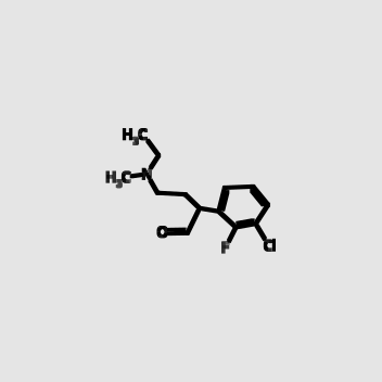 CCN(C)CCC(C=O)c1cccc(Cl)c1F